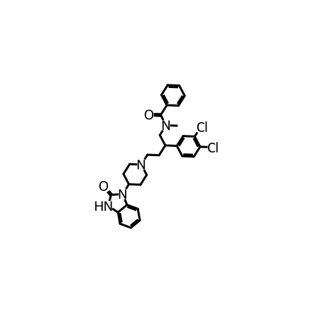 CN(CC(CCN1CCC(n2c(=O)[nH]c3ccccc32)CC1)c1ccc(Cl)c(Cl)c1)C(=O)c1ccccc1